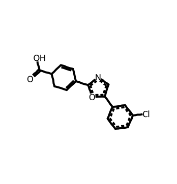 O=C(O)C1C=CC(c2ncc(-c3cccc(Cl)c3)o2)=CC1